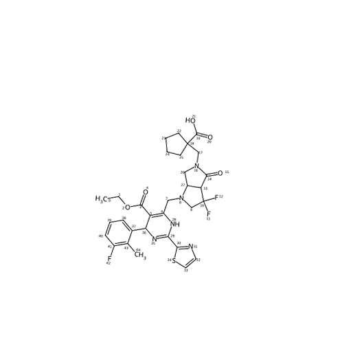 CCOC(=O)C1=C(CN2CC(F)(F)C3C(=O)N(CC4(C(=O)O)CCCC4)CC32)NC(c2nccs2)=NC1c1cccc(F)c1C